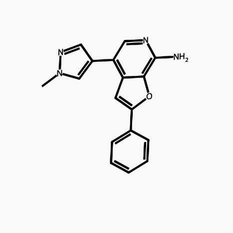 Cn1cc(-c2cnc(N)c3oc(-c4ccccc4)cc23)cn1